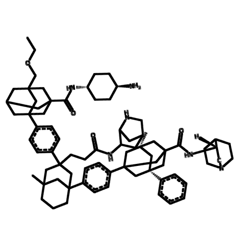 CCOCC12CC3CC(C(=O)N[C@H]4CC[C@H](N)CC4)(C1)CC(c1ccc(C4(CCC(=O)NC5CC6CNC5C6)CC5(C)CCCC(c6ccc(C78CC9(C(=O)N[C@H]%10CN%11CCC%10CC%11)C[C@](C)(C7)C[C@@](c7ccccc7)(C9)C8)cc6)(C5)C4)cc1)(C3)C2